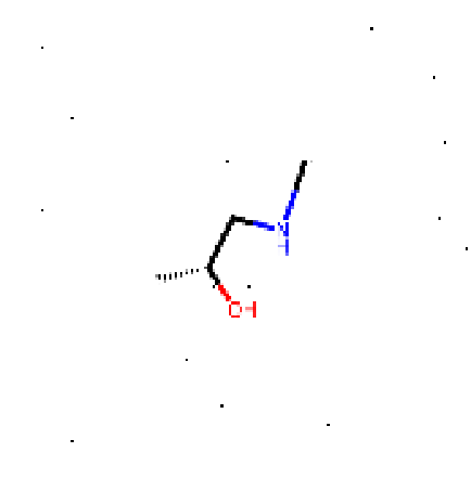 [CH2]NC[C@@H](C)O